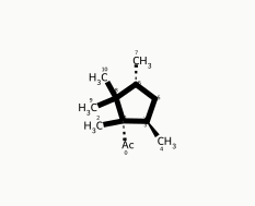 CC(=O)[C@@]1(C)[C@H](C)C[C@@H](C)C1(C)C